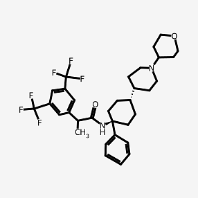 CC(C(=O)N[C@]1(c2ccccc2)CC[C@@H](C2CCN(C3CCOCC3)CC2)CC1)c1cc(C(F)(F)F)cc(C(F)(F)F)c1